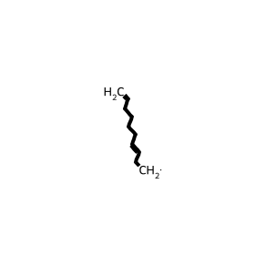 [CH2]CC=CCCCCC=C